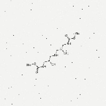 CC(C)(C)OC(=O)NCC(O)CNCC(O)CNC(=O)OC(C)(C)C